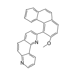 COc1ccc2ccc3ccccc3c2c1-c1ccc2ccc3ncccc3c2n1